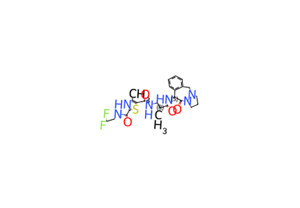 Cc1nc(C(=O)NCC(F)F)sc1C(=O)NC[C@@H](C)C(=O)N[C@@H]1C(=O)N2CCCN2Cc2ccccc21